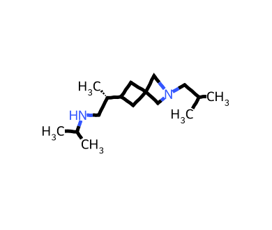 CC(C)CN1CC2(CC([C@@H](C)CNC(C)C)C2)C1